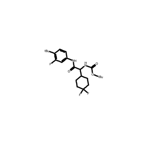 CC(C)(C)OC(=O)NC(C(=O)Nc1ccc(C(C)(C)C)c(F)c1)C1CCC(F)(F)CC1